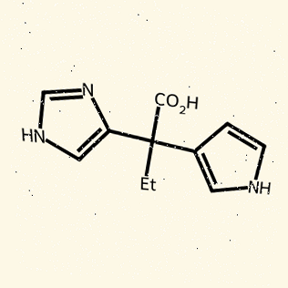 CCC(C(=O)O)(c1cc[nH]c1)c1c[nH]cn1